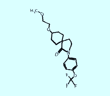 COCCOC1CCC2(CC1)CCN(c1ccc(OC(F)(F)F)cc1)C2=O